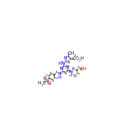 Cc1nc(Nc2nc(NCc3ccc(S(C)(=O)=O)cc3)cc(N3CCCC(CO)C3)n2)sc1C(=O)O